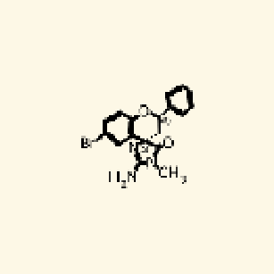 CN1C(=O)[C@@]2(C[C@H](c3ccccc3)Oc3ccc(Br)cc32)N=C1N